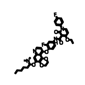 CCCCCC(Oc1cc2nccc(Oc3ccc(NC(=O)c4c(OCC)ccn(-c5ccc(F)cc5)c4=O)cc3F)c2c2c1OCCO2)N(C)C